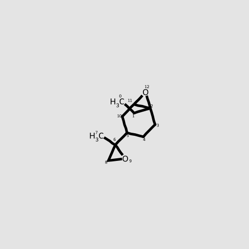 CCC12CCC(C3(C)CO3)CC1O2